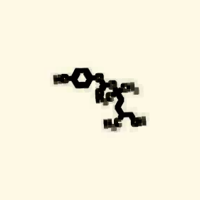 CC(CO)CCC(C)(C)OC(=O)Oc1ccc(O)cc1